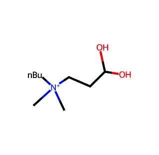 CCCC[N+](C)(C)CCC(O)O